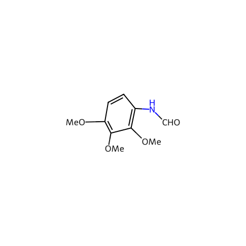 COc1ccc(NC=O)c(OC)c1OC